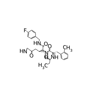 CCC(=O)N[C@@H](Cc1ccccc1C)C(=O)N[C@@H](CCC(=O)C=N)C(=O)NCc1ccc(F)cc1